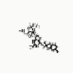 CC1(C)OC2[C@@H](CO)O[C@@H](n3cnc4c(N5CC6(Cc7ccc(F)cc7C6)C5)nc(Cl)nc43)[C@H]2O1